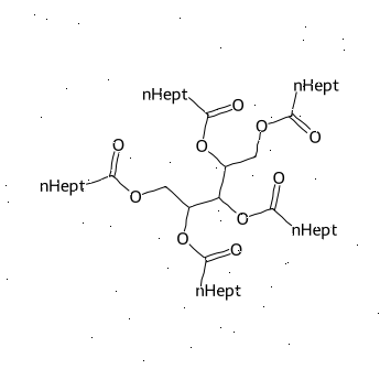 CCCCCCCC(=O)OCC(OC(=O)CCCCCCC)C(OC(=O)CCCCCCC)C(COC(=O)CCCCCCC)OC(=O)CCCCCCC